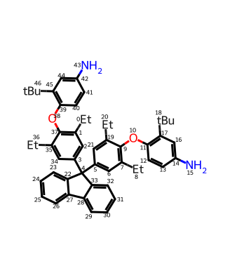 CCc1cc(C2(c3cc(CC)c(Oc4ccc(N)cc4C(C)(C)C)c(CC)c3)c3ccccc3-c3ccccc32)cc(CC)c1Oc1ccc(N)cc1C(C)(C)C